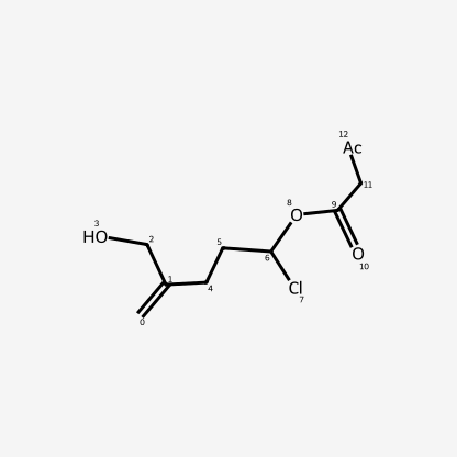 C=C(CO)CCC(Cl)OC(=O)CC(C)=O